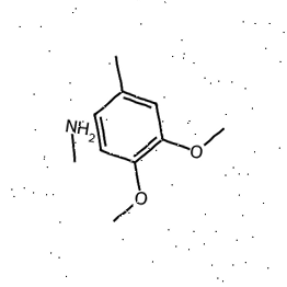 CN.COc1ccc(C)cc1OC